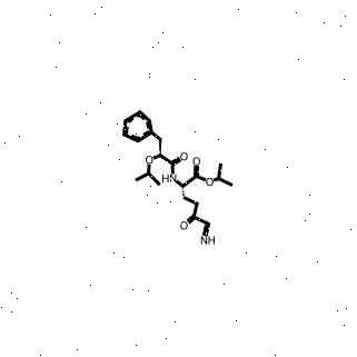 CC(C)OC(=O)[C@H](CCC(=O)C=N)NC(=O)[C@H](Cc1ccccc1)OC(C)C